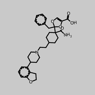 NC(=O)C1(C2(Cc3ccccc3)OC=C(C(=O)O)O2)CCC(CCN2CCC(c3cccc4c3CCO4)CC2)CC1